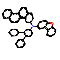 c1ccc(-c2ccc(N(c3ccc4ccc5c6ccccc6ccc5c4c3)c3ccc4oc5ccccc5c4c3)cc2-c2ccccc2)cc1